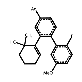 COc1ccc(F)c(-c2ccc(C(C)=O)cc2C2=CCCCC2(C)C)c1